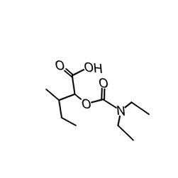 CCC(C)C(OC(=O)N(CC)CC)C(=O)O